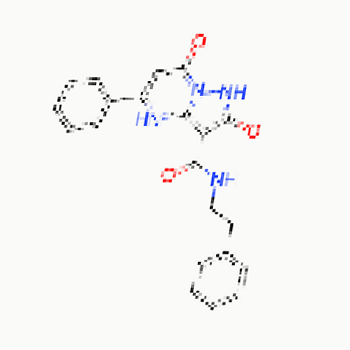 O=C(NCCc1ccccc1)c1c(=O)[nH]n2c(=O)cc(-c3ccccc3)[nH]c12